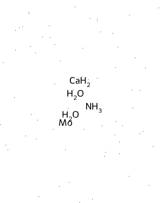 N.O.O.[CaH2].[Mo]